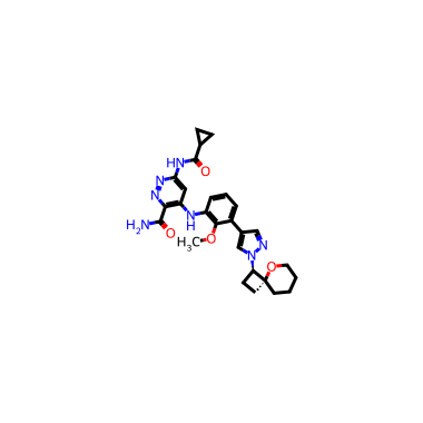 COc1c(Nc2cc(NC(=O)C3CC3)nnc2C(N)=O)cccc1-c1cnn([C@@H]2CC[C@]23CCCCO3)c1